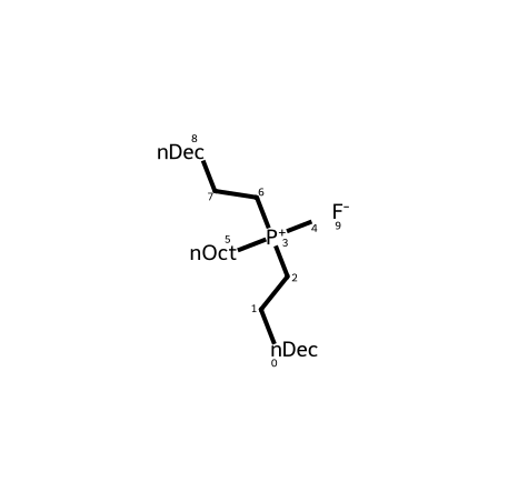 CCCCCCCCCCCC[P+](C)(CCCCCCCC)CCCCCCCCCCCC.[F-]